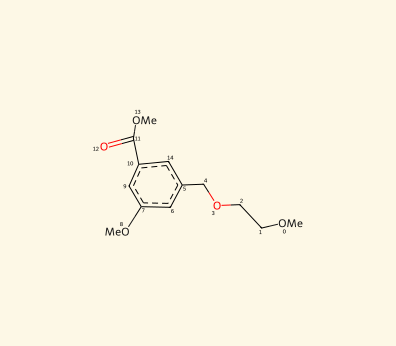 COCCOCc1cc(OC)cc(C(=O)OC)c1